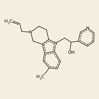 C=CCN1CCc2c(c3cc(C)ccc3n2CC(O)c2cccnc2)C1